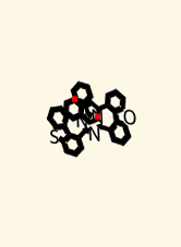 C1=c2ccccc2=CC(c2cccc3oc4cccc(-c5nc(-c6ccccc6)nc(-c6cccc7sc8ccccc8c67)n5)c4c23)C1